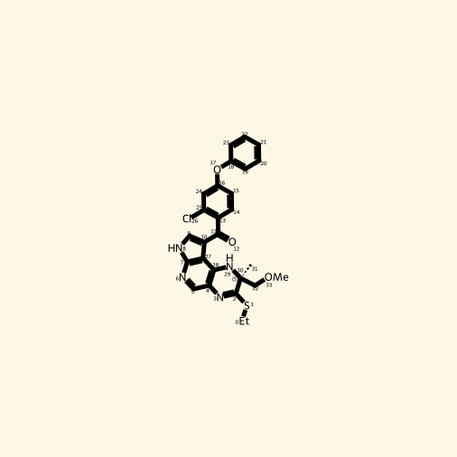 CCSC1=Nc2cnc3[nH]cc(C(=O)c4ccc(Oc5ccccc5)cc4Cl)c3c2N[C@@]1(C)COC